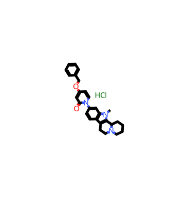 Cl.Cn1c2c(c3ccc(-n4ccc(OCc5ccccc5)cc4=O)cc31)CCN1CCCCC21